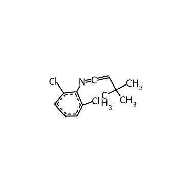 CC(C)(C)C=C=Nc1c(Cl)cccc1Cl